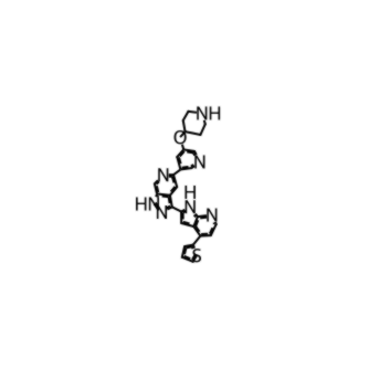 c1csc(-c2ccnc3[nH]c(-c4n[nH]c5cnc(-c6cncc(OC7CCNCC7)c6)cc45)cc23)c1